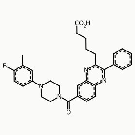 Cc1cc(N2CCN(C(=O)c3ccc4nc(-c5ccccc5)c(CCCCC(=O)O)nc4c3)CC2)ccc1F